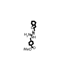 COC(=O)c1ccc(CN/C(N)=N/N=C/c2cc3ccccc3o2)cc1